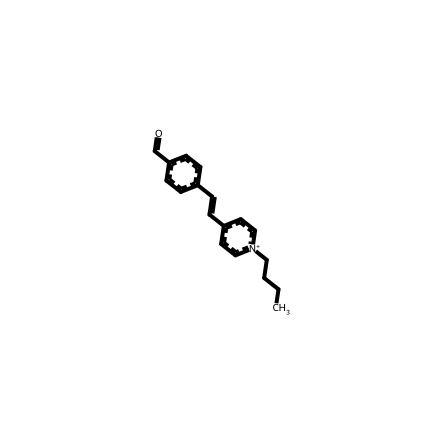 CCCC[n+]1ccc(C=Cc2ccc(C=O)cc2)cc1